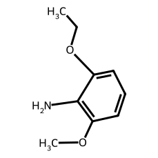 CCOc1cccc(OC)c1N